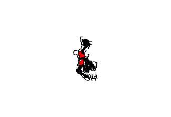 COc1cc(CN(C(=O)C2(C)C(c3ccc(CCCOc4c(F)ccc(F)c4F)cc3)CC3CN(C(=O)Oc4cccc(CON(O)O)c4)CC2N3C(=O)OC(C)(C)C(Cl)(Cl)Cl)C2CC2)cc(OC)c1